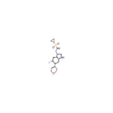 O=S(=O)(NCc1c[nH]c2cc(C3=CCOCC3)c(F)cc12)C1CC1